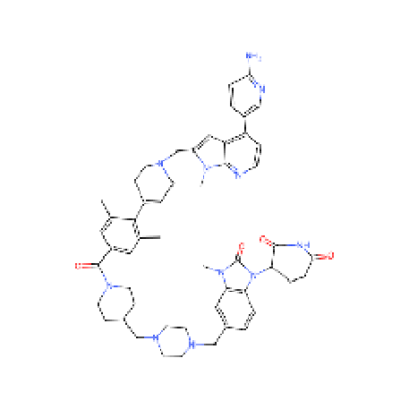 Cc1cc(C(=O)N2CCC(CN3CCN(Cc4ccc5c(c4)n(C)c(=O)n5C4CCC(=O)NC4=O)CC3)CC2)cc(C)c1C1=CCN(Cc2cc3c(-c4ccc(N)nc4)ccnc3n2C)CC1